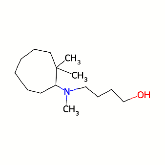 CN(CCCCO)C1CCCCCCC1(C)C